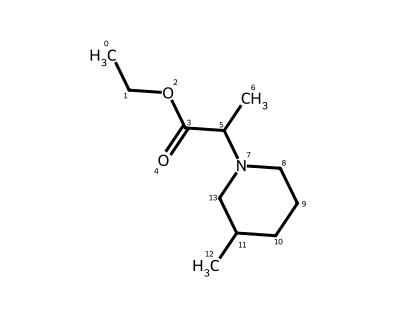 CCOC(=O)C(C)N1CCCC(C)C1